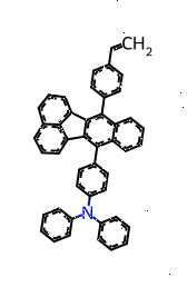 C=Cc1ccc(-c2c3c(c(-c4ccc(N(c5ccccc5)c5ccccc5)cc4)c4ccccc24)-c2cccc4cccc-3c24)cc1